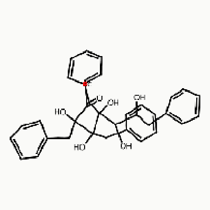 CC(=O)C(=O)C(O)(Cc1ccccc1)C(O)(Cc1ccccc1)C(O)(Cc1ccccc1)C(O)C(O)Cc1ccccc1